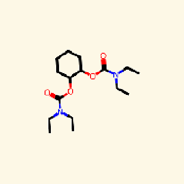 CCN(CC)C(=O)OC1CCCCC1OC(=O)N(CC)CC